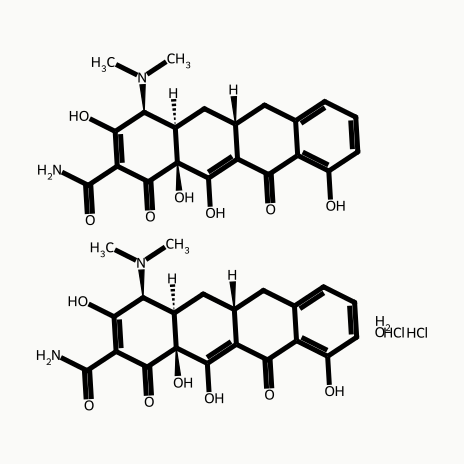 CN(C)[C@@H]1C(O)=C(C(N)=O)C(=O)[C@@]2(O)C(O)=C3C(=O)c4c(O)cccc4C[C@H]3C[C@H]12.CN(C)[C@@H]1C(O)=C(C(N)=O)C(=O)[C@@]2(O)C(O)=C3C(=O)c4c(O)cccc4C[C@H]3C[C@H]12.Cl.Cl.O